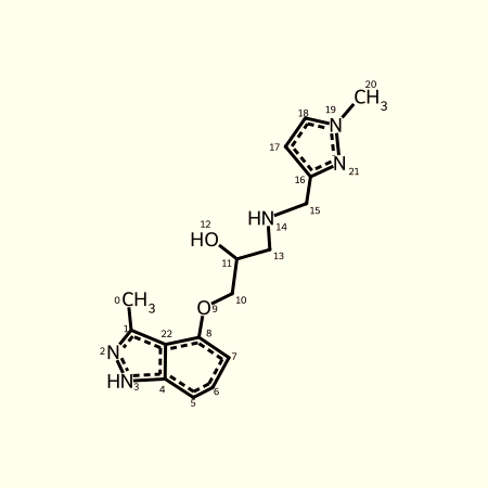 Cc1n[nH]c2cccc(OCC(O)CNCc3ccn(C)n3)c12